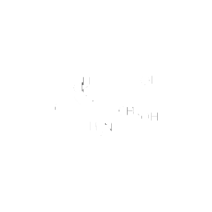 CC12CCC(C3(C)CCC(O)CC3CO)C(CN)C1CCC2=C(Cl)Cl